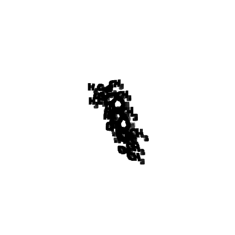 CON(C)C(=O)[C@@]1(C)CC[C@]2(C)CC[C@]3(C)C(=CC(=O)[C@@H]4[C@@]5(C)CC[C@H](OC(C)=O)C(C)(C)C5CC[C@]43C)[C@H]2C1